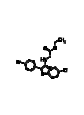 CCOC(=O)CNc1c(-c2ccc(Br)cc2)nc2ccc(Cl)cn12